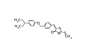 CCC(CC)c1ccc(OCc2ccc(C=C3SC(SC)=NC3=O)cc2)cc1